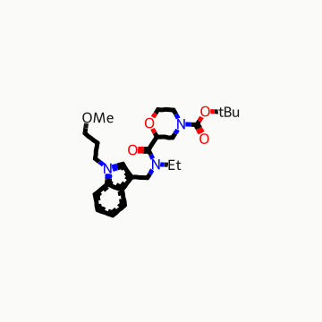 CCN(Cc1cn(CCCOC)c2ccccc12)C(=O)C1CN(C(=O)OC(C)(C)C)CCO1